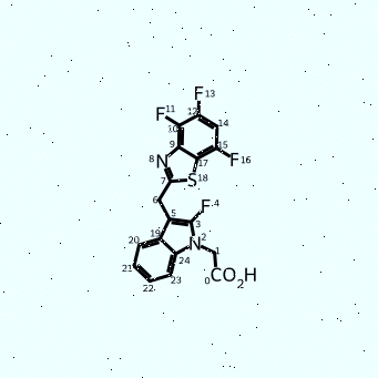 O=C(O)Cn1c(F)c(Cc2nc3c(F)c(F)cc(F)c3s2)c2ccccc21